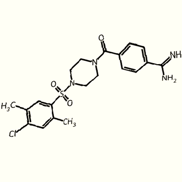 Cc1cc(S(=O)(=O)N2CCN(C(=O)c3ccc(C(=N)N)cc3)CC2)c(C)cc1Cl